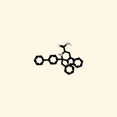 NC(=O)C1Cc2c([nH]c3ccccc23)C(Cc2ccccc2)(c2ccc(-c3ccccc3)cc2)N1